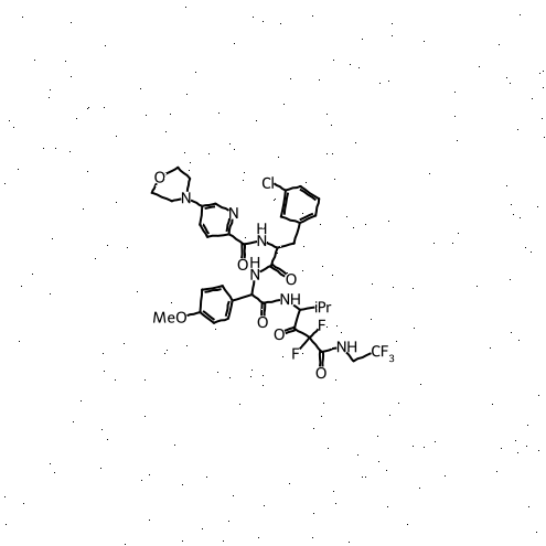 COc1ccc(C(NC(=O)C(Cc2cccc(Cl)c2)NC(=O)c2ccc(N3CCOCC3)cn2)C(=O)NC(C(=O)C(F)(F)C(=O)NCC(F)(F)F)C(C)C)cc1